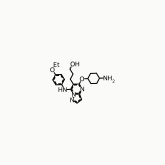 CCOc1ccc(Nc2c(CCCO)c(OC3CCC(N)CC3)nc3ccnn23)cc1